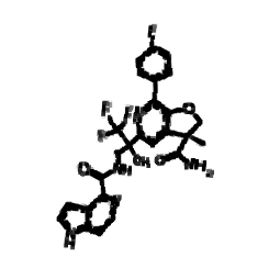 C[C@]1(C(N)=O)COc2c1cc(C(O)(CNC(=O)c1nccc3[nH]ccc13)C(F)(F)F)nc2-c1ccc(F)cc1